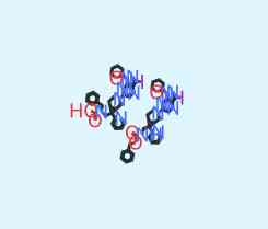 O=C(NCC1(c2ccccn2)C2CCN(c3cnc4c(I)nn(C5CCCCO5)c4n3)CC21)OCc1ccccc1.O=C(O)N(Cc1ccccc1)CC1(c2ccccn2)C2CCN(c3cnc4c(I)nn(C5CCCCO5)c4n3)CC21